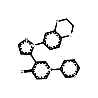 O=c1ccn(-c2cccnc2)cc1-c1ccnn1-c1ccc2c(c1)OCCO2